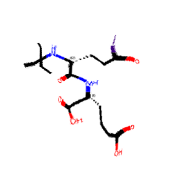 CC(C)(C)N[C@H](CCC(=O)I)C(=O)N[C@H](CCC(=O)O)C(=O)O